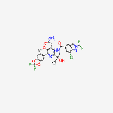 CCOc1c(CC(N)=O)cc([C@@](O)(CNC(=O)c2cc(Cl)c3nn(C(F)F)cc3c2)C2CC2)nc1-c1ccc2c(c1)OC(F)(F)O2